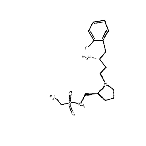 N[C@@H](CCN1CCC[C@H]1CNS(=O)(=O)CC(F)(F)F)Cc1ccccc1F